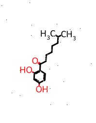 CC(C)CCCCCC(=O)c1ccc(O)cc1O